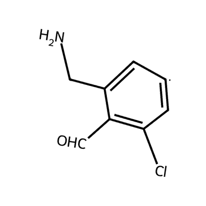 NCc1c[c]cc(Cl)c1C=O